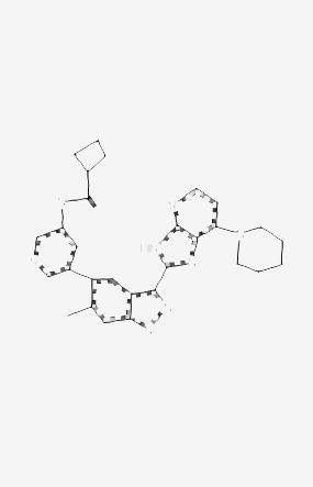 O=C(Nc1cncc(-c2cc3c(-c4nc5c(N6CCCCC6)ccnc5[nH]4)n[nH]c3cc2F)c1)C1CCC1